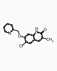 Cc1cc2cc(Cl)c(OCc3ccccn3)cc2[nH]c1=O